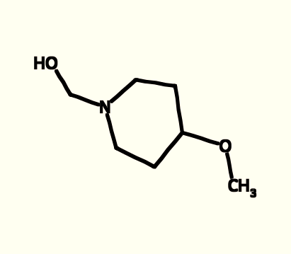 COC1CCN(CO)CC1